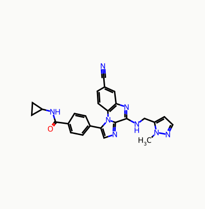 Cn1nccc1CNc1nc2cc(C#N)ccc2n2c(-c3ccc(C(=O)NC4CC4)cc3)cnc12